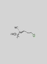 N#CC(=CCCCl)C(=O)O